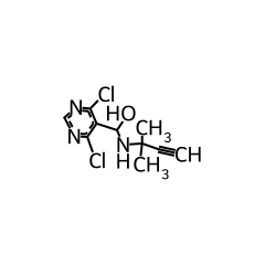 C#CC(C)(C)NC(O)c1c(Cl)ncnc1Cl